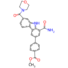 COC(=O)c1ccc(-c2cc(C(N)=O)c3[nH]c4cc(C(=O)N5CCOCC5)ccc4c3c2)cc1